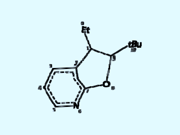 CCC1c2cccnc2OC1C(C)(C)C